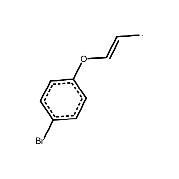 [CH2]/C=C/Oc1ccc(Br)cc1